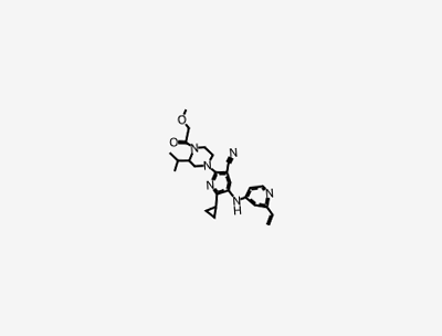 C=Cc1cc(Nc2cc(C#N)c(N3CCN(C(=O)COC)C(C(C)C)C3)nc2C2CC2)ccn1